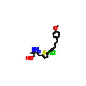 COc1ccc(CCCC#Cc2ccc(CCC(C)(N)CO)s2)cc1.Cl